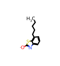 CCCCCc1cccc2nc([O])sc12